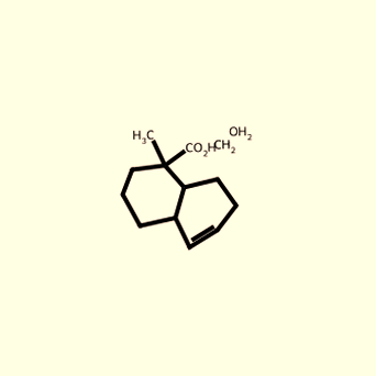 CC1(C(=O)O)CCCC2C=CCCC21.O.[CH2]